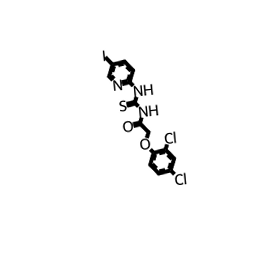 O=C(COc1ccc(Cl)cc1Cl)NC(=S)Nc1ccc(I)cn1